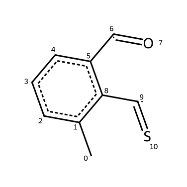 Cc1cccc([C]=O)c1[C]=S